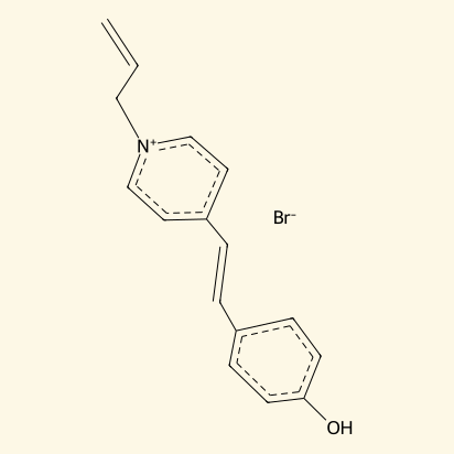 C=CC[n+]1ccc(/C=C/c2ccc(O)cc2)cc1.[Br-]